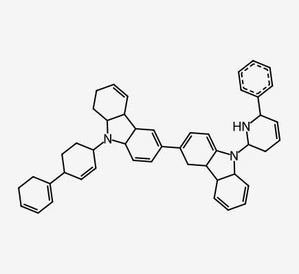 C1=CCCC(C2C=CC(N3C4C=CC(C5=CC=C6C(C5)C5C=CC=CC5N6C5CC=CC(c6ccccc6)N5)=CC4C4C=CCCC43)CC2)=C1